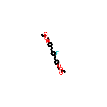 C=CC(=O)O/C=C\Oc1ccc(/C=C/c2ccc(/C=C/c3ccc(O/C=C\OC(=O)C=C)cc3)c(F)c2)cc1